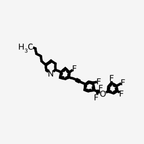 CCCCCC1=CCC(c2ccc(C#Cc3ccc(C(F)(F)Oc4cc(F)c(F)c(F)c4)c(F)c3)c(F)c2)N=C1